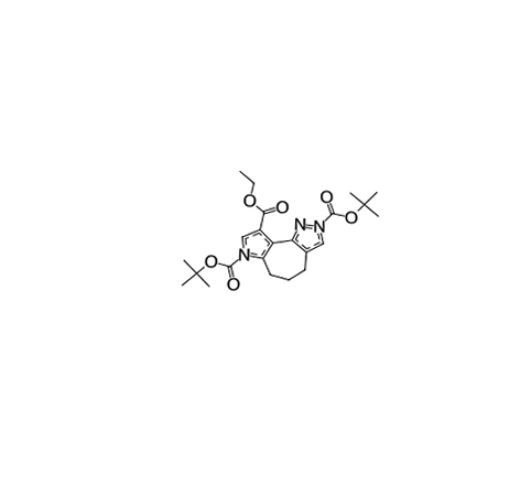 CCOC(=O)c1cn(C(=O)OC(C)(C)C)c2c1-c1nn(C(=O)OC(C)(C)C)cc1CCC2